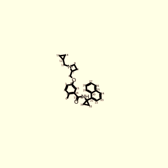 Cc1ccc(OCC2CCN2CC2CC2)cc1C(=O)NC1(c2cccc3ccccc23)CC1